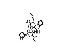 CC[C@H](C)[C@H](NC(=O)c1cccnc1)C(=O)N[C@@H](Cc1ccccc1)C(=O)N[C@@H](CCSC)C(=O)OC